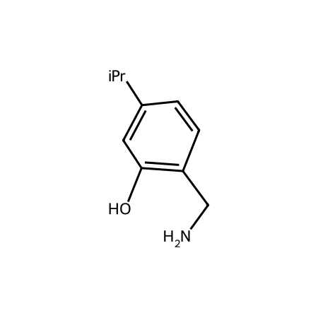 CC(C)c1ccc(CN)c(O)c1